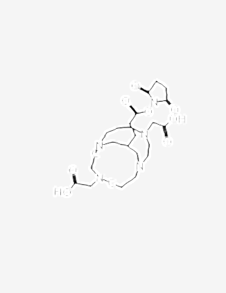 O=C(O)CN1CCCN2CCN(CC(=O)O)CCCN(CC1)CC(CCC(=O)ON1C(=O)CCC1=O)C2